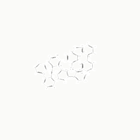 c1ccc2c(c1)-c1ccccc1C21c2ccccc2-c2c1ccc1c3ccccc3n(-c3ccc4oc5cccc6c7ccccc7c3c4c56)c21